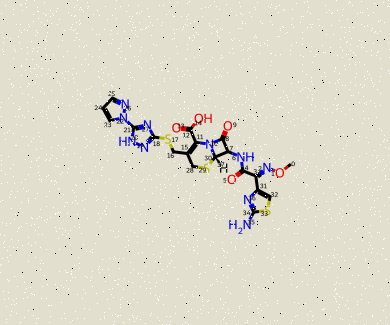 CON=C(C(=O)NC1C(=O)N2C(C(=O)O)=C(CSc3n[nH]c(-n4cccn4)n3)CS[C@@H]12)c1csc(N)n1